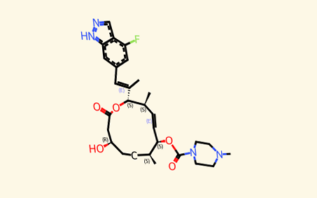 C/C(=C\c1cc(F)c2cn[nH]c2c1)[C@H]1OC(=O)C[C@H](O)CC[C@H](C)[C@H](OC(=O)N2CCN(C)CC2)/C=C/[C@@H]1C